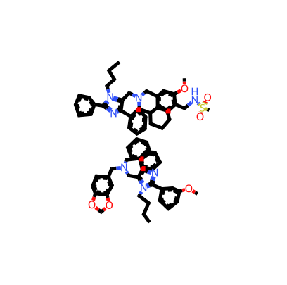 CCCCn1c(-c2cccc(OC)c2)nc(-c2ccccc2)c1CN(Cc1ccccc1)Cc1ccc2c(c1)OCO2.CCCCn1c(-c2ccccc2)nc(-c2ccccc2)c1CN(Cc1ccc(CNS(C)(=O)=O)c(OC)c1)CC1CCCCC1